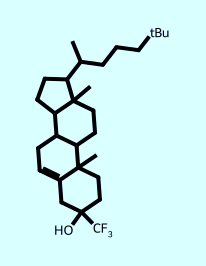 CC(CCCC(C)(C)C)C1CCC2C3CC=C4CC(O)(C(F)(F)F)CCC4(C)C3CCC12C